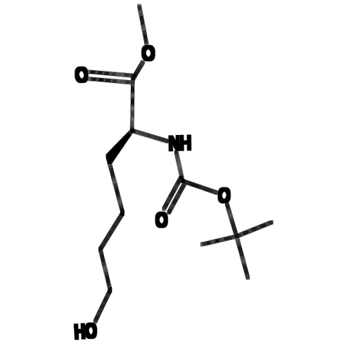 COC(=O)[C@H](CCCCO)NC(=O)OC(C)(C)C